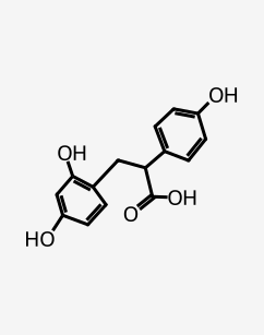 O=C(O)C(Cc1ccc(O)cc1O)c1ccc(O)cc1